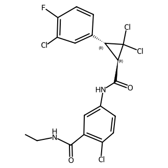 CCNC(=O)c1cc(NC(=O)[C@H]2[C@H](c3ccc(F)c(Cl)c3)C2(Cl)Cl)ccc1Cl